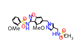 COc1ccccc1S(=O)(=O)Nc1noc2cc(Cn3cc(CNS(C)(=O)=O)cn3)cc(OC)c12